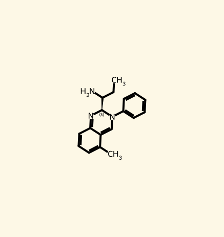 CCC(N)[C@@H]1N=c2cccc(C)c2=CN1c1ccccc1